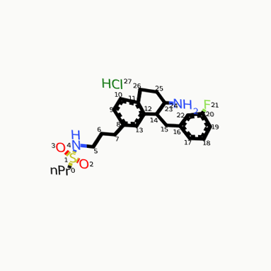 CCCS(=O)(=O)NCCCc1ccc2c(c1)C(Cc1cccc(F)c1)C(N)CC2.Cl